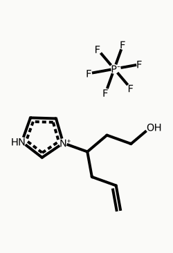 C=CCC(CCO)[n+]1cc[nH]c1.F[P-](F)(F)(F)(F)F